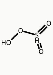 O=[SH](=O)OO